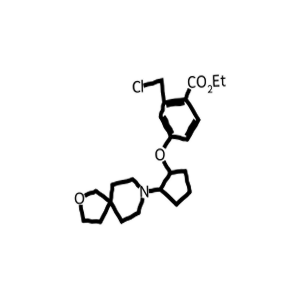 CCOC(=O)c1ccc(OC2CCCC2N2CCC3(CCOC3)CC2)cc1CCl